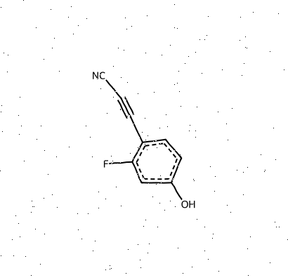 N#CC#Cc1ccc(O)cc1F